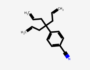 C=CCC(CC=C)(CC=C)c1ccc(C#N)cc1